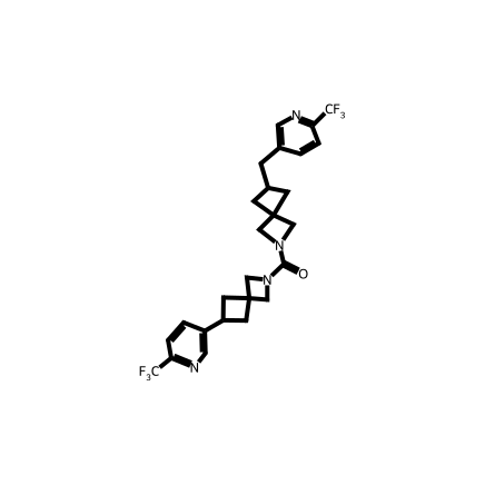 O=C(N1CC2(CC(Cc3ccc(C(F)(F)F)nc3)C2)C1)N1CC2(CC(c3ccc(C(F)(F)F)nc3)C2)C1